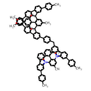 Cc1ccc(-c2ccc3c(c2)C(c2cc(C)cc(C4c5cc(-c6ccc(C)cc6)ccc5-c5ccc(-c6ccc(Cc7ccc8c(c7)c7ccc(-c9ccc(C)cc9)cc7n8-c7cc(C#N)cc(-n8c9ccccc9c9ccc(-c%10ccc(C)cc%10)cc98)c7-c7c(C(F)(F)F)cccc7C(F)(F)F)cc6)cc54)c2-c2c(C(F)(F)F)cccc2C(F)(F)F)c2cc(-c4ccc(C)cc4)ccc2-3)cc1